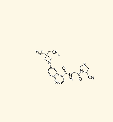 CC1(CC(F)(F)F)CN(c2ccc3nccc(C(=O)NCC(=O)N4CSC[C@H]4C#N)c3c2)C1